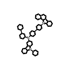 c1ccc(-c2cccc(N(c3ccc(-c4ccc(-n5c6ccccc6c6ccc7ccccc7c65)cc4)cc3)c3ccc4c(c3)c3ccccc3n4-c3ccccc3)c2)cc1